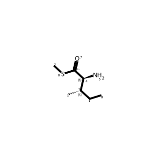 CC[C@H](C)[C@H](N)C(=O)SC